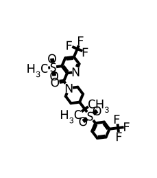 CC(C)(C1CCN(C(=O)c2ncc(C(F)(F)F)cc2S(C)(=O)=O)CC1)S(=O)(=O)c1cccc(C(F)(F)F)c1